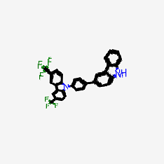 FC(F)(F)c1ccc2c(c1)c1cc(C(F)(F)F)ccc1n2-c1ccc(-c2ccc3[nH]c4ccccc4c3c2)cc1